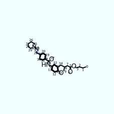 CCCCOC(=O)CC1COc2ccc(NC(=O)c3ccc(/C=N/N4CCCCC4)cc3)cc2C1